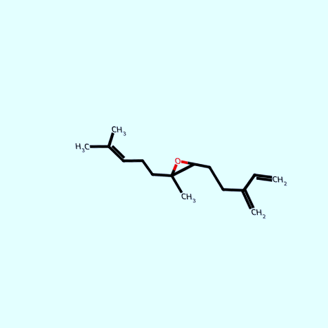 C=CC(=C)CCC1OC1(C)CCC=C(C)C